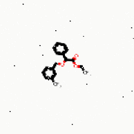 O=C(OCC(F)(F)F)C(OCc1cccc(C(F)(F)F)c1)c1ccccc1